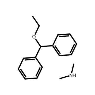 CCOC(c1ccccc1)c1ccccc1.CNC